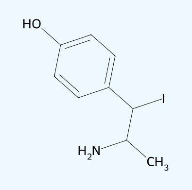 CC(N)C(I)c1ccc(O)cc1